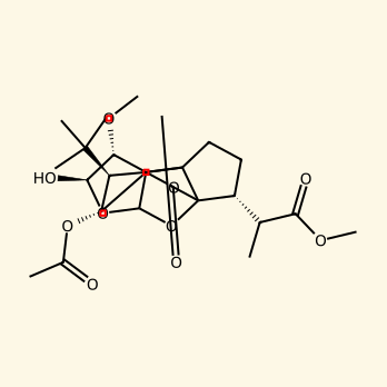 COC(=O)C(C)[C@H]1CCC23C4OC(=O)C12OC1O[C@@H](O)[C@H](OC)C13[C@H](C(C)(C)C)[C@H]4OC(C)=O